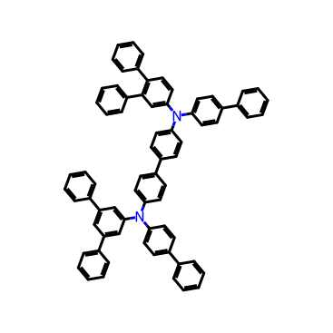 c1ccc(-c2ccc(N(c3ccc(-c4ccc(N(c5ccc(-c6ccccc6)cc5)c5ccc(-c6ccccc6)c(-c6ccccc6)c5)cc4)cc3)c3cc(-c4ccccc4)cc(-c4ccccc4)c3)cc2)cc1